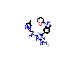 Cc1cnn(CCNc2nc(N)nc(-c3ccc4cnn(C5CCCCO5)c4c3)n2)c1